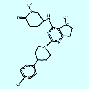 CCCN1CC(Nc2nc(N3CCC(c4ccc(Cl)cc4)CC3)nc3c2[S+]([O-])CC3)CCC1=O